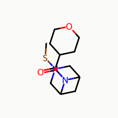 CSN1CC2CC(C1)N2C(=O)C1CCOCC1